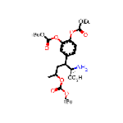 CC(C)COC(=O)Oc1ccc(C(CC(C)OC(=O)OC(C)(C)C)[C@H](N)C(=O)O)cc1OC(=O)OCC(C)C